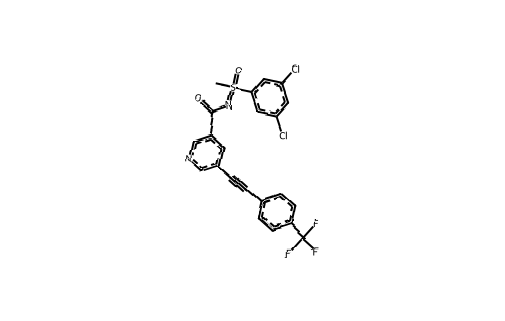 CS(=O)(=NC(=O)c1cncc(C#Cc2ccc(C(F)(F)F)cc2)c1)c1cc(Cl)cc(Cl)c1